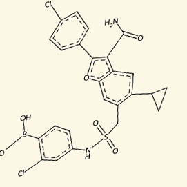 NC(=O)c1c(-c2ccc(Cl)cc2)oc2cc(CS(=O)(=O)Nc3ccc(B(O)O)c(Cl)c3)c(C3CC3)cc12